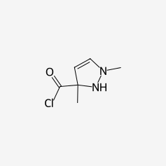 CN1C=CC(C)(C(=O)Cl)N1